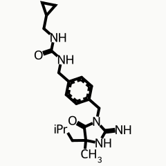 CC(C)CC1(C)NC(=N)N(Cc2ccc(CNC(=O)NCC3CC3)cc2)C1=O